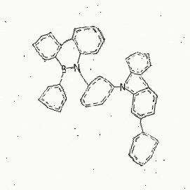 c1ccc(B2c3ccccc3-c3ccccc3N2c2cccc(-n3c4ccccc4c4ccc(-c5ccccc5)cc43)c2)cc1